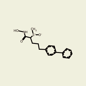 C[S+]([O-])C(CCCc1ccc(-c2ccccc2)cc1)C(=O)NO